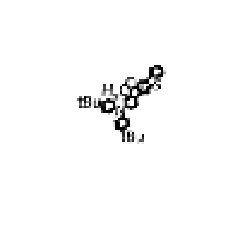 CC(C)(C)c1ccc(N(c2ccc(C(C)(C)C)cc2)c2ccc3c(c2)C(C)(C)c2cc4c(cc2-3)sc2ccccc24)cc1